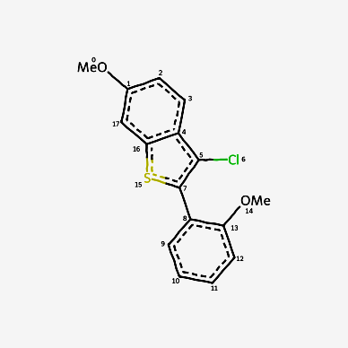 COc1ccc2c(Cl)c(-c3ccccc3OC)sc2c1